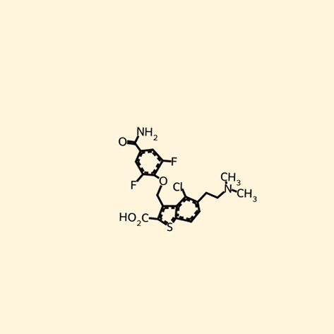 CN(C)CCc1ccc2sc(C(=O)O)c(COc3c(F)cc(C(N)=O)cc3F)c2c1Cl